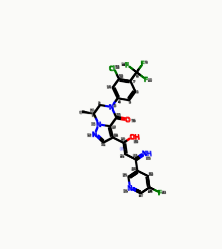 C[C@H]1CN(c2ccc(C(F)(F)F)c(Cl)c2)C(=O)c2c(/C(O)=C/C(=N)c3cncc(F)c3)cnn21